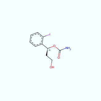 NC(=O)O[C@@H](CCO)c1ccccc1I